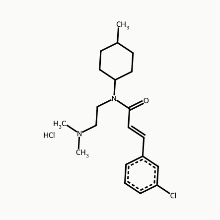 CC1CCC(N(CCN(C)C)C(=O)C=Cc2cccc(Cl)c2)CC1.Cl